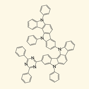 c1ccc(-c2nc(-c3ccccc3)nc(-c3ccc4c5c(ccc6c7ccccc7n(-c7ccc8c(c7)c7ccc9c(c%10ccccc%10n9-c9ccccc9)c7n8-c7ccccc7)c65)n(-c5ccccc5)c4c3)n2)cc1